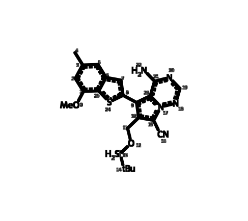 COc1cc(C)cc2cc(-c3c(CO[SiH2]C(C)(C)C)c(C#N)n4ncnc(N)c34)sc12